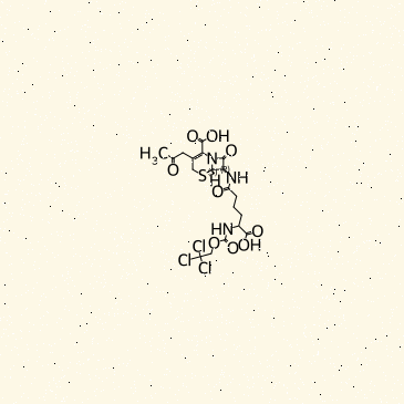 CC(=O)CC1=C(C(=O)O)N2C(=O)[C@@H](NC(=O)CCCC(NC(=O)OCC(Cl)(Cl)Cl)C(=O)O)[C@@H]2SC1